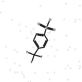 [O]S(=O)(=O)c1ccc(C(F)(F)F)cc1